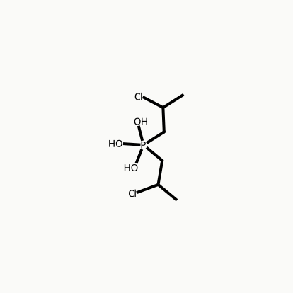 CC(Cl)CP(O)(O)(O)CC(C)Cl